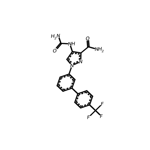 NC(=O)Nc1cn(-c2cccc(-c3ccc(C(F)(F)F)cc3)c2)nc1C(N)=O